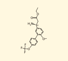 CCOC(=O)C[C@H](N)c1ccc(OC)c(-c2ccc(OC(F)(F)F)cc2)c1